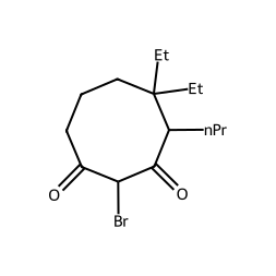 CCCC1C(=O)C(Br)C(=O)CCCC1(CC)CC